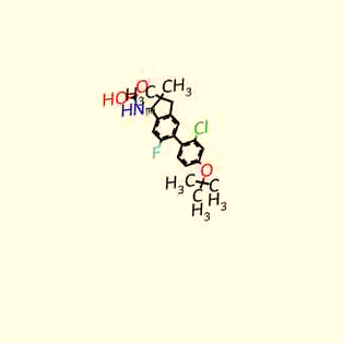 CC(C)(C)Oc1ccc(-c2cc3c(cc2F)[C@H](NC(=O)O)C(C)(C)C3)c(Cl)c1